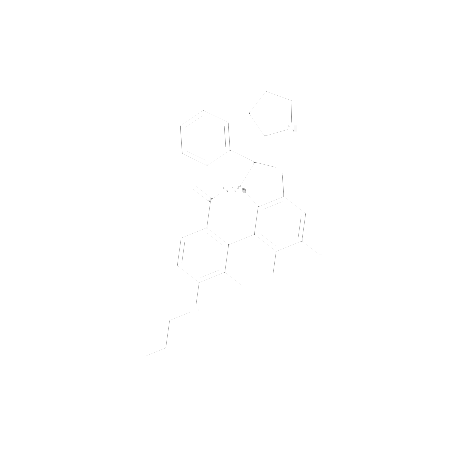 CNC(=O)c1ccc(OCCO)c(F)c1-c1c(Cl)c(F)cc2c1C[C@](c1ccccc1)(C1CCCN1)O2